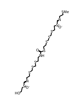 CSCC/N=C/[S+]([O-])CCSCSCSCCSC(=O)NCCSCSCSCC/N=C/[S+]([O-])CCO